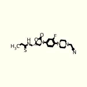 CCC(=S)NC[C@H]1CN(c2ccc(N3CCN(CC#N)CC3)c(F)c2)C(=O)O1